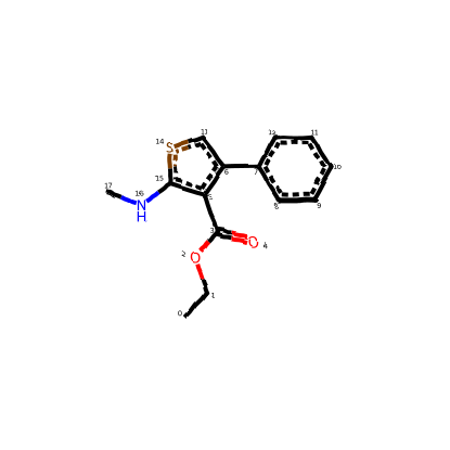 CCOC(=O)c1c(-c2ccccc2)csc1NC